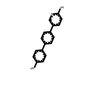 CCCc1ccc(-c2ccc(-c3ccc(CCC)nc3)cc2)cc1